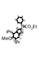 CCOC(=O)N(c1ccccc1)c1nc2cc(C(C)C)c(OC)c(C(C)C)c2s1